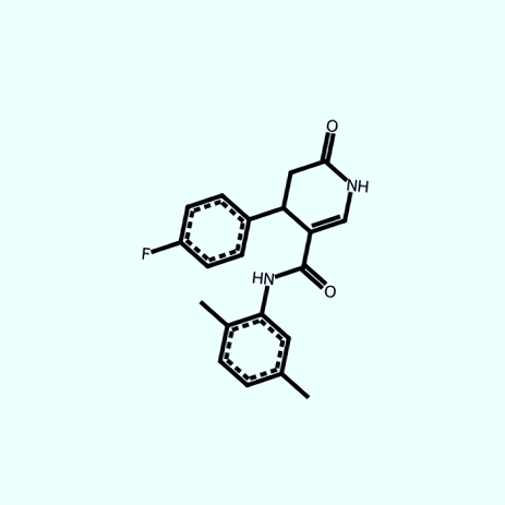 Cc1ccc(C)c(NC(=O)C2=CNC(=O)CC2c2ccc(F)cc2)c1